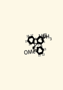 COC[PH](c1ccccc1)(c1ccccc1)c1ccccc1.Cl.P